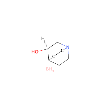 B.O[C@H]1CN2CCC1CC2